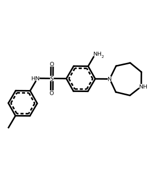 Cc1ccc(NS(=O)(=O)c2ccc(N3CCCNCC3)c(N)c2)cc1